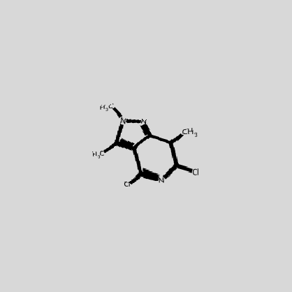 Cc1c2c(nn1C)C(C)C(Cl)N=C2Cl